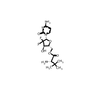 CC(C)(C)[C@H](N)C(=O)OC[C@H]1O[C@@H](n2ccc(N)nc2=O)C(F)(F)[C@@H]1O